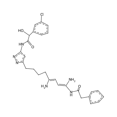 N/C(=C\C=C(/N)NC(=O)Cc1ccccc1)CCCCc1nnc(NC(=O)C(O)c2cccc(Cl)c2)s1